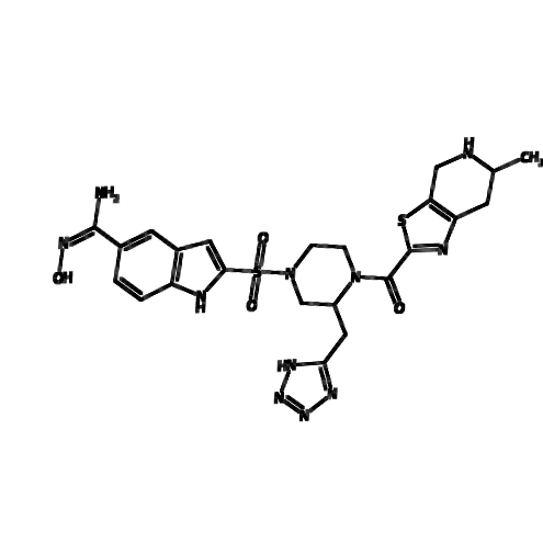 CC1Cc2nc(C(=O)N3CCN(S(=O)(=O)c4cc5cc(/C(N)=N\O)ccc5[nH]4)CC3Cc3nnn[nH]3)sc2CN1